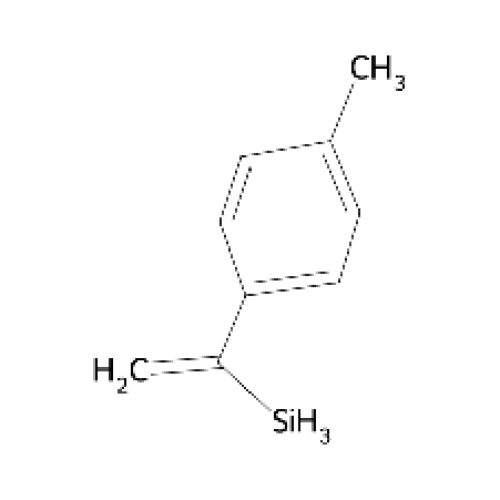 C=C([SiH3])c1ccc(C)cc1